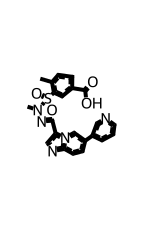 Cc1ccc(C(=O)O)cc1S(=O)(=O)N(C)N=Cc1cnc2ccc(-c3cccnc3)cn12